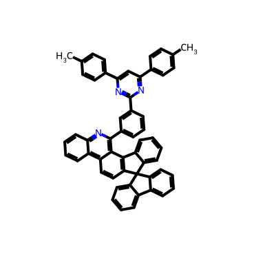 Cc1ccc(-c2cc(-c3ccc(C)cc3)nc(-c3cccc(-c4nc5ccccc5c5ccc6c(c45)-c4ccccc4C64c5ccccc5-c5ccccc54)c3)n2)cc1